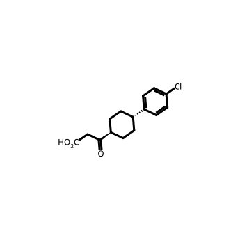 O=C(O)CC(=O)[C@H]1CC[C@H](c2ccc(Cl)cc2)CC1